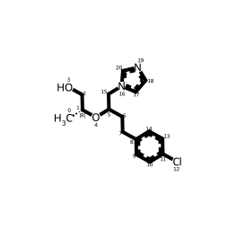 C[C@H](CO)OC(CCc1ccc(Cl)cc1)Cn1ccnc1